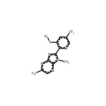 CCSc1cc(C(F)(F)F)cnc1-c1nc2nc(C(F)(F)F)cnc2n1C